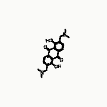 CN(C)Cc1ccc2c(c1O)C(=O)c1ccc(CN(C)C)c(O)c1C2=O